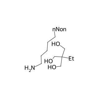 CCC(CO)(CO)CO.CCCCCCCCCCCCCCN